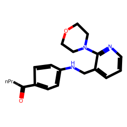 CCCC(=O)c1ccc(NCc2cccnc2N2CCOCC2)cc1